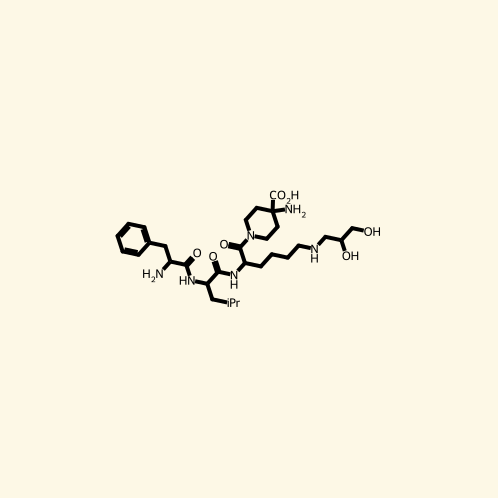 CC(C)CC(NC(=O)C(N)Cc1ccccc1)C(=O)NC(CCCCNCC(O)CO)C(=O)N1CCC(N)(C(=O)O)CC1